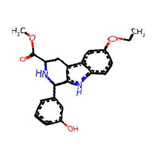 CCOc1ccc2[nH]c3c(c2c1)CC(C(=O)OC)NC3c1cccc(O)c1